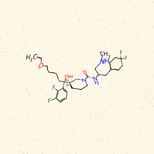 CCOCCCC[C@@](O)(c1cccc(F)c1F)[C@@H]1CCCN(C(=O)NC(CNC)CC2CCC(F)(F)CC2)C1